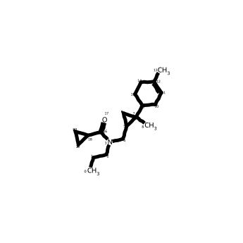 CCCN(CC1CC1(C)C1CC=C(C)CC1)C(=O)C1CC1